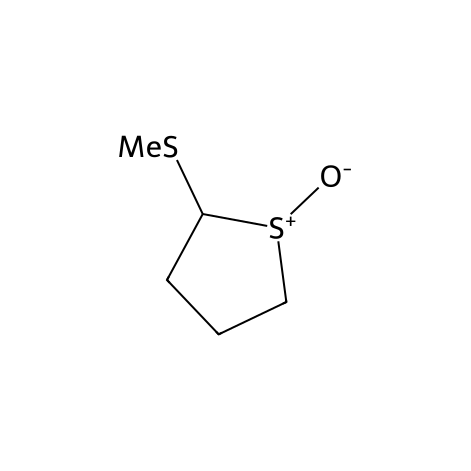 CSC1CCC[S+]1[O-]